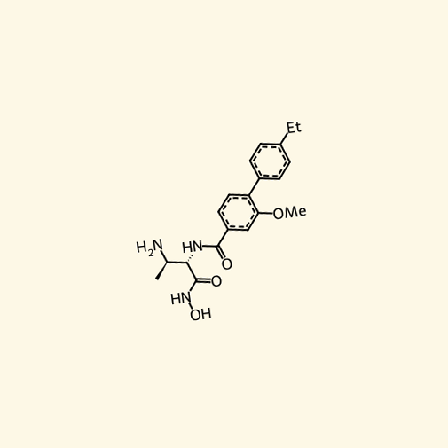 CCc1ccc(-c2ccc(C(=O)N[C@H](C(=O)NO)[C@@H](C)N)cc2OC)cc1